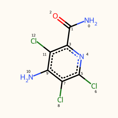 NC(=O)c1nc(Cl)c(Cl)c(N)c1Cl